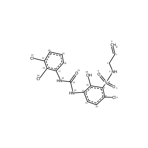 C=CCNS(=O)(=O)c1c(Cl)ccc(NC(=O)Nc2cccc(Cl)c2Cl)c1O